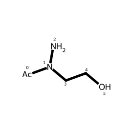 CC(=O)N(N)CCO